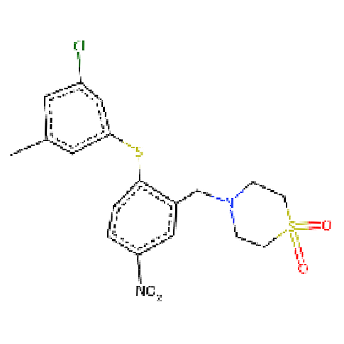 Cc1cc(Cl)cc(Sc2ccc([N+](=O)[O-])cc2CN2CCS(=O)(=O)CC2)c1